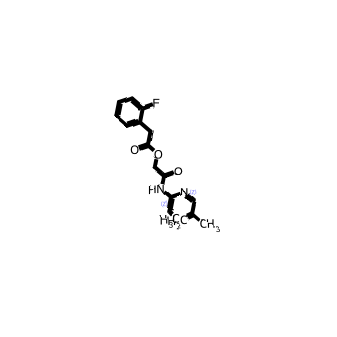 C=C(C)/C=N\C(=C/C)NC(=O)COC(=O)Cc1ccccc1F